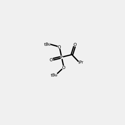 CC(C)C(=O)P(=O)(OC(C)(C)C)OC(C)(C)C